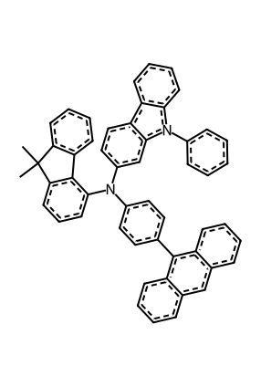 CC1(C)c2ccccc2-c2c(N(c3ccc(-c4c5ccccc5cc5ccccc45)cc3)c3ccc4c5ccccc5n(-c5ccccc5)c4c3)cccc21